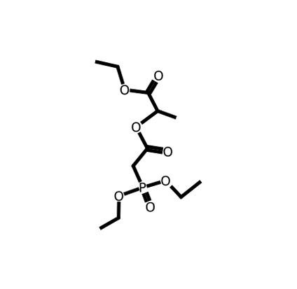 CCOC(=O)C(C)OC(=O)CP(=O)(OCC)OCC